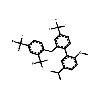 COc1ccc(C(C)C)cc1-c1ccc(C(F)(F)F)cc1Cc1ccc(C(F)(F)F)cc1C(F)(F)F